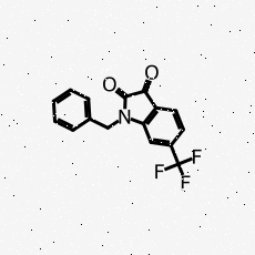 O=C1C(=O)N(Cc2ccccc2)c2cc(C(F)(F)F)ccc21